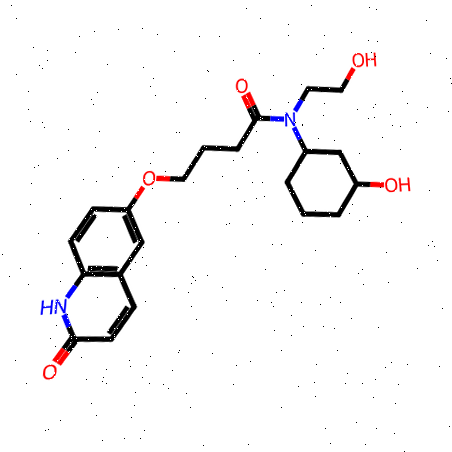 O=C(CCCOc1ccc2[nH]c(=O)ccc2c1)N(CCO)C1CCCC(O)C1